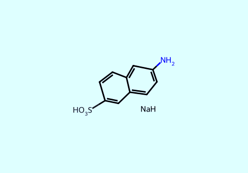 Nc1ccc2cc(S(=O)(=O)O)ccc2c1.[NaH]